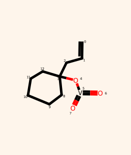 C=CCC1([O][V](=[O])=[O])CCCCC1